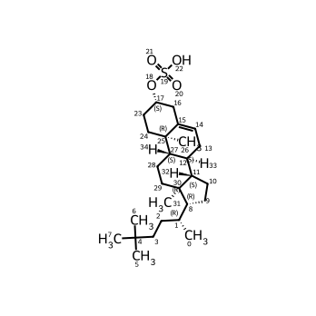 C[C@H](CCC(C)(C)C)[C@H]1CC[C@H]2[C@@H]3CC=C4C[C@@H](OS(=O)(=O)O)CC[C@]4(C)[C@H]3CC[C@]12C